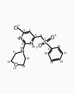 O=S(=O)(Cc1cc(Cl)nc(N2CCOCC2)n1)c1ccccc1